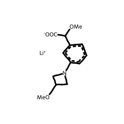 COC1CN(c2cccc(C(OC)C(=O)[O-])c2)C1.[Li+]